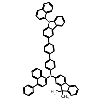 CC1(C)c2ccccc2-c2ccc(N(c3ccc(-c4ccc(-c5ccc6c(c5)c5ccccc5n6-c5cccc6ccccc56)cc4)cc3)c3ccc(-c4ccccc4)c4ccccc34)cc21